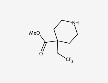 COC(=O)C1(CC(F)(F)F)CCNCC1